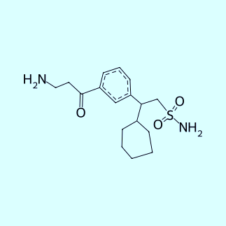 NCCC(=O)c1cccc(C(CS(N)(=O)=O)C2CCCCC2)c1